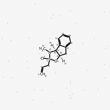 C=CC[Si]1(Cl)O[C@@H]2Cc3ccccc3[C@@H]2N1C